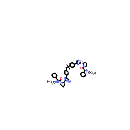 CC(C)(Cc1ccc(-c2c[nH]c(C3CCCN3C(=O)C(NC(=O)O)c3ccccc3)n2)cc1)c1ccc(-c2c[nH]c([C@@H]3CCCN3C(=O)[C@H](NC(=O)O)c3ccccc3)n2)cc1